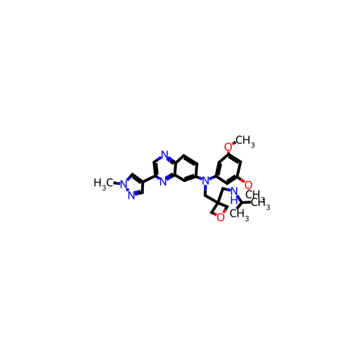 COc1cc(OC)cc(N(CC2(CNC(C)C)COC2)c2ccc3ncc(-c4cnn(C)c4)nc3c2)c1